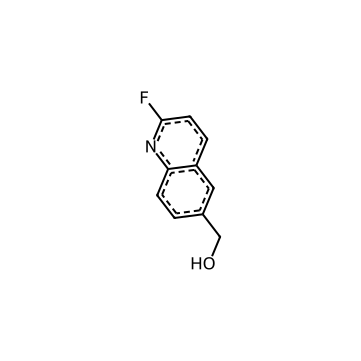 OCc1ccc2nc(F)ccc2c1